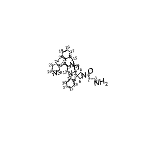 NCCC(=O)N1CC2(C1)C(=O)N(Cc1ncc3ccccc3c1-c1cccnc1)c1ccccc12